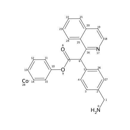 NCc1ccc(C(C(=O)Oc2ccccc2)c2nccc3ccccc23)cc1.[Co]